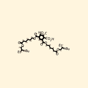 CCCCC(CC)COC(=O)CCCCCOC(=O)c1cc(C(=O)OCCCCCC(=O)OCC(CC)CCCC)c(C(=O)O)cc1C(=O)O